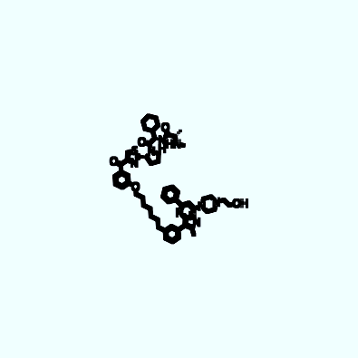 CN[C@@H](C)C(=O)N[C@H](C(=O)N1CCC[C@H]1c1nc(C(=O)c2cccc(OCCCCCCCc3cccc(-c4c(C)nn5c(N6CCN(CCO)CC6)cc(-c6ccccc6)nc45)c3)c2)cs1)C1CCCCC1